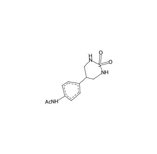 CC(=O)Nc1ccc(C2CNS(=O)(=O)NC2)cc1